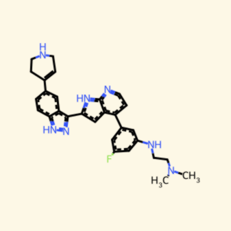 CN(C)CCNc1cc(F)cc(-c2ccnc3[nH]c(-c4n[nH]c5ccc(C6=CCNCC6)cc45)cc23)c1